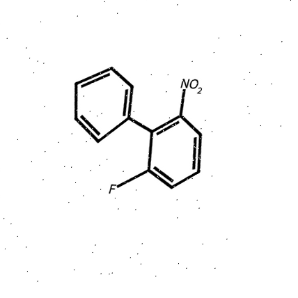 O=[N+]([O-])c1cccc(F)c1-c1ccccc1